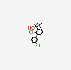 [CH2]C(O)(c1cccc(-c2cccc(Cl)c2)c1Cl)[Si](C)(C)C